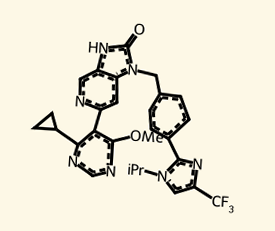 COc1ncnc(C2CC2)c1-c1cc2c(cn1)[nH]c(=O)n2Cc1ccc(-c2nc(C(F)(F)F)cn2C(C)C)cc1